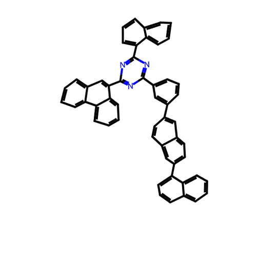 c1cc(-c2ccc3cc(-c4cccc5ccccc45)ccc3c2)cc(-c2nc(-c3cccc4ccccc34)nc(-c3cc4ccccc4c4ccccc34)n2)c1